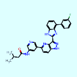 CC(C)CC(=O)Nc1cncc(-c2ccc3[nH]nc(-c4nc5c(-c6cccc(F)c6)cccc5[nH]4)c3n2)c1